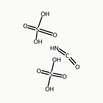 N=C=O.O=S(=O)(O)O.O=S(=O)(O)O